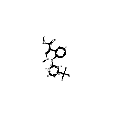 CO/C=C(/C(=O)OC)c1ccccc1Oc1nccc(C(C)(C)C)n1